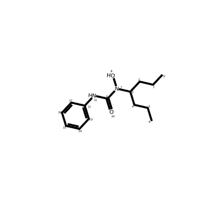 CCCC(CCC)N(O)C(=O)Nc1ccccc1